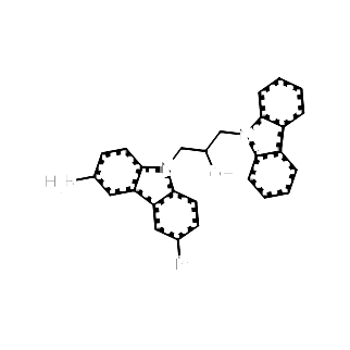 Bc1ccc2c(c1)c1cc(Br)ccc1n2CC(O)Cn1c2ccccc2c2ccccc21